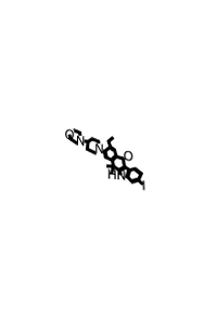 CCc1cc2c(cc1N1CCC(N3CCOCC3)CC1)C(C)(C)c1[nH]c3cc(I)ccc3c1C2=O